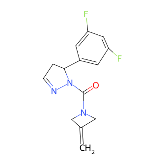 C=C1CN(C(=O)N2N=CCC2c2cc(F)cc(F)c2)C1